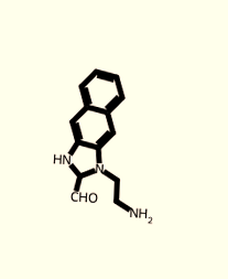 NCCN1c2cc3ccccc3cc2NC1C=O